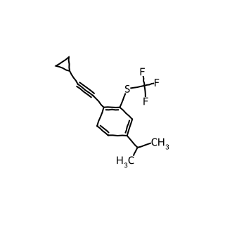 CC(C)c1ccc(C#CC2CC2)c(SC(F)(F)F)c1